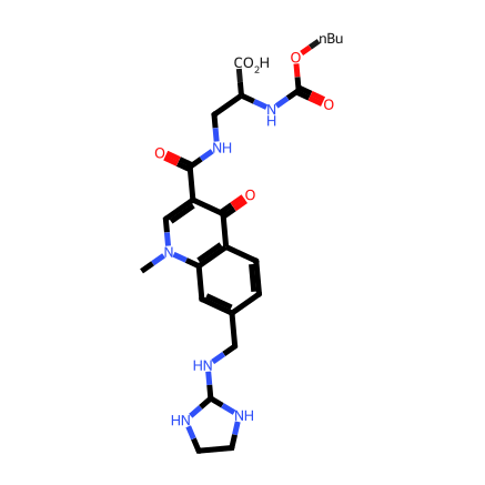 CCCCOC(=O)NC(CNC(=O)c1cn(C)c2cc(CNC3NCCN3)ccc2c1=O)C(=O)O